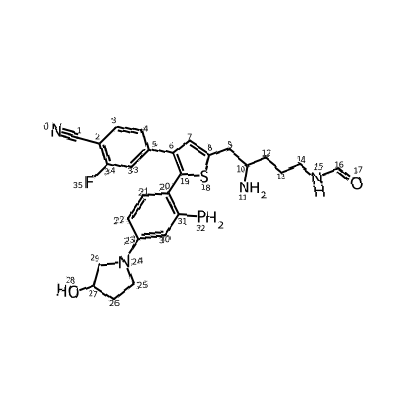 N#Cc1ccc(-c2cc(CC(N)CCCNC=O)sc2-c2ccc(N3CCC(O)C3)cc2P)cc1F